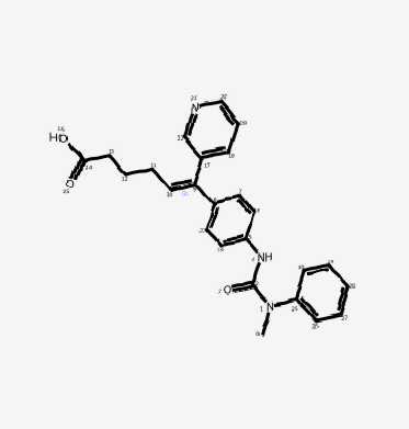 CN(C(=O)Nc1ccc(/C(=C/CCCC(=O)O)c2cccnc2)cc1)c1ccccc1